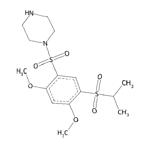 COc1cc(OC)c(S(=O)(=O)N2CCNCC2)cc1S(=O)(=O)C(C)C